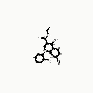 CCOC(=O)c1cn(-c2ccccc2Cl)c2nc(Cl)ccc2c1=O